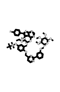 CCOC(=O)[C@@H](Cc1cc(O[Si](C)(C)C(C)(C)C)ccc1OCc1ccnc(-c2cccc(OC[C@H]3O[C@H](OC)[C@@H](OC)[C@@H](OC)[C@@H]3OC)c2)n1)Oc1ncnc2sc(-c3ccc(F)cc3)c(Br)c12